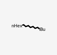 [CH2]CCCCCCCCCCCCC(C)C[CH2]